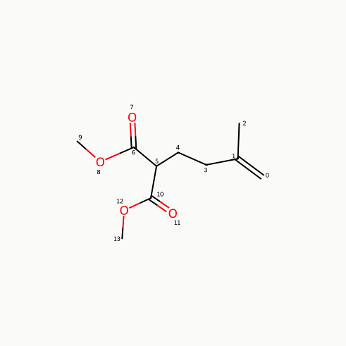 C=C(C)CCC(C(=O)OC)C(=O)OC